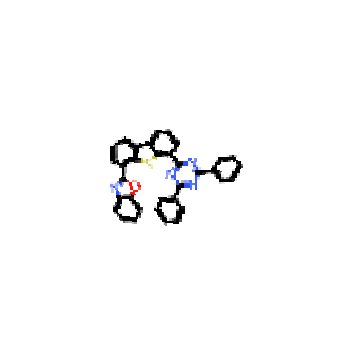 c1ccc(-c2nc(-c3ccccc3)nc(-c3cccc4c3sc3c(-c5nc6ccccc6o5)cccc34)n2)cc1